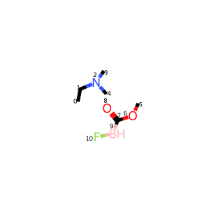 CCN(C)C.COC(=O)BF